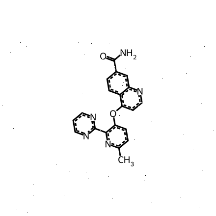 Cc1ccc(Oc2ccnc3cc(C(N)=O)ccc23)c(-c2ncccn2)n1